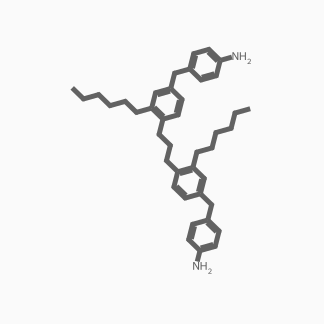 CCCCCCc1cc(Cc2ccc(N)cc2)ccc1CCCc1ccc(Cc2ccc(N)cc2)cc1CCCCCC